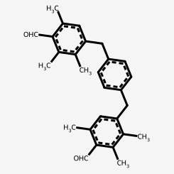 Cc1cc(Cc2ccc(Cc3cc(C)c(C=O)c(C)c3C)cc2)c(C)c(C)c1C=O